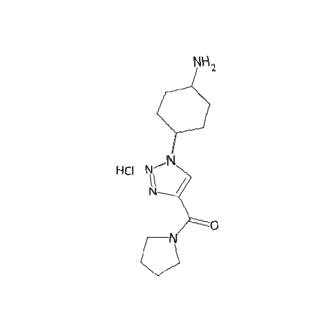 Cl.NC1CCC(n2cc(C(=O)N3CCCC3)nn2)CC1